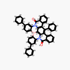 O=c1c2ccccc2c2c(-c3ccccc3)c3c4ccccc4c(=O)n4c3c3c2n1-c1cc(-c2ccccc2)ccc1B3c1ccc(-c2ccccc2)cc1-4